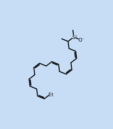 CC/C=C\C/C=C\C/C=C\C/C=C\C/C=C\C/C=C\CC(C)[S+](C)[O-]